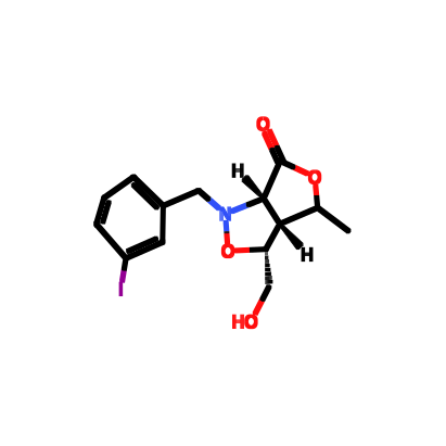 CC1OC(=O)[C@@H]2[C@H]1[C@H](CO)ON2Cc1cccc(I)c1